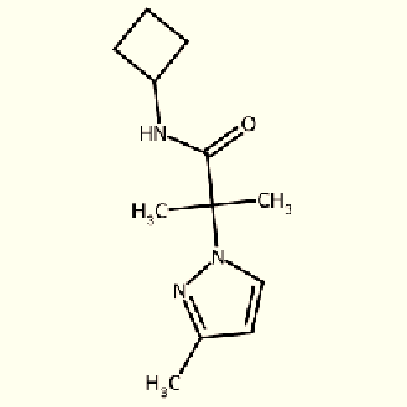 Cc1ccn(C(C)(C)C(=O)NC2CCC2)n1